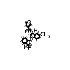 Cc1ccc2c(c1)c(NC(=O)c1ccoc1)cn2Cc1ccccc1C(F)(F)F